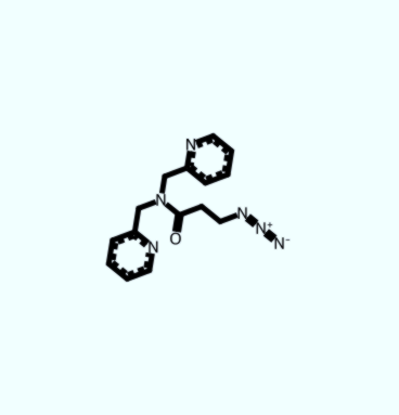 [N-]=[N+]=NCCC(=O)N(Cc1ccccn1)Cc1ccccn1